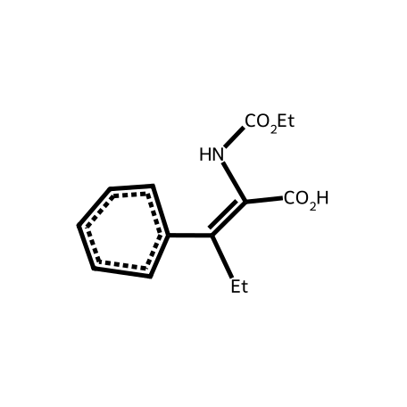 CCOC(=O)NC(C(=O)O)=C(CC)c1ccccc1